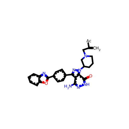 C=C(CN1CCCC(n2nc(-c3ccc(-c4nc5ccccc5o4)cc3)c3c(N)n[nH]c(=O)c32)C1)C(C)=O